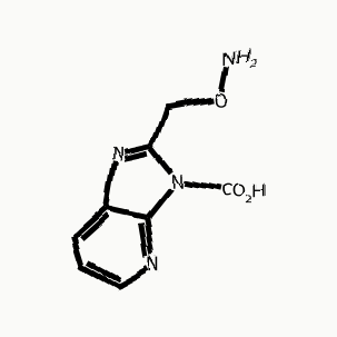 NOCc1nc2cccnc2n1C(=O)O